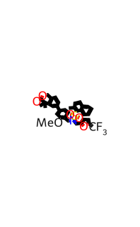 COc1cc(-c2ccc3c(c2)C(C)(C)C(=O)OC3)ccc1CN(Cc1ccc(C(F)(F)F)o1)S(=O)(=O)c1c(C)ccc2ccccc12